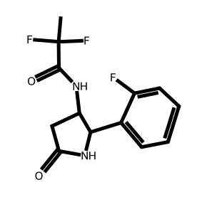 CC(F)(F)C(=O)NC1CC(=O)NC1c1ccccc1F